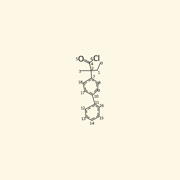 CCC(C)(C(=O)Cl)c1ccc(-c2ccccc2)cc1